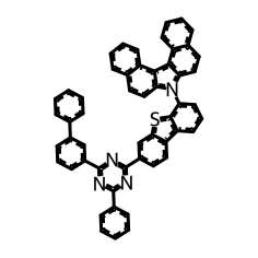 c1ccc(-c2cccc(-c3nc(-c4ccccc4)nc(-c4ccc5c(c4)sc4c(-n6c7ccc8ccccc8c7c7c8ccccc8ccc76)cccc45)n3)c2)cc1